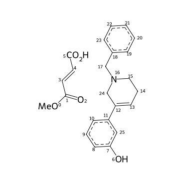 COC(=O)/C=C/C(=O)O.Oc1cccc(C2=CCCN(Cc3ccccc3)C2)c1